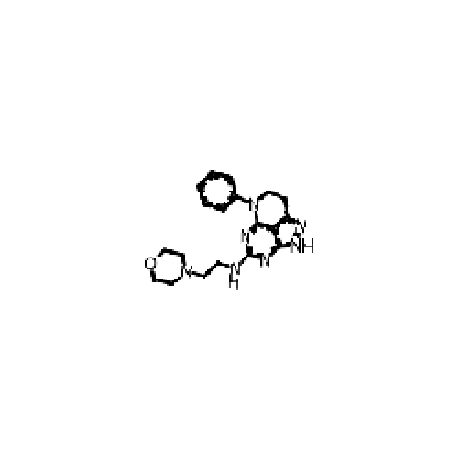 c1ccc(N2CCc3n[nH]c4nc(NCCN5CCOCC5)nc2c34)cc1